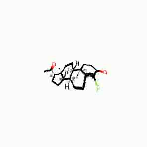 CC(=O)[C@H]1CC[C@H]2[C@@H]3CCC4=C(F)C(=O)CC[C@]4(C)[C@H]3CC[C@]12C